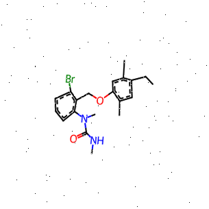 CCc1cc(C)c(OCc2c(Br)cccc2N(C)C(=O)NC)cc1C